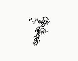 CN1CCN(S(=O)(=O)c2ccc(Nc3cc(-c4ccc5nc6c(c(N7CC[C@H](N)C7)c5c4)CCCCC6)ccn3)cc2)CC1.Cl